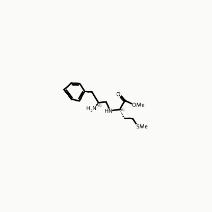 COC(=O)[C@H](CCSC)NC[C@@H](N)Cc1ccccc1